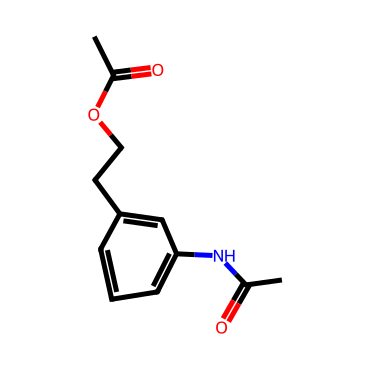 CC(=O)Nc1cccc(CCOC(C)=O)c1